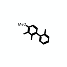 COc1ccc(-c2ccccc2C)c(C)c1C